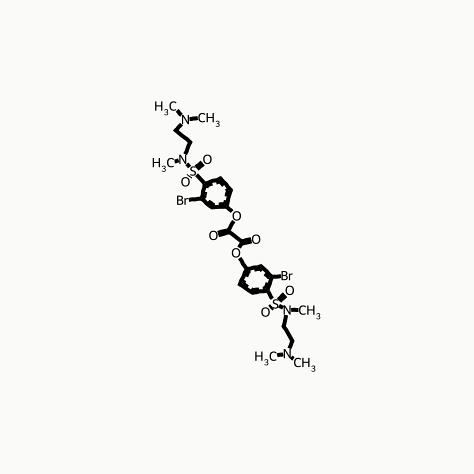 CN(C)CCN(C)S(=O)(=O)c1ccc(OC(=O)C(=O)Oc2ccc(S(=O)(=O)N(C)CCN(C)C)c(Br)c2)cc1Br